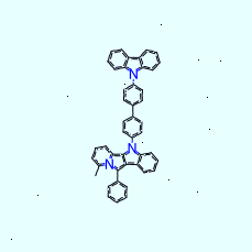 Cc1cccc2c3c(c(-c4ccccc4)n12)c1ccccc1n3-c1ccc(-c2ccc(-n3c4ccccc4c4ccccc43)cc2)cc1